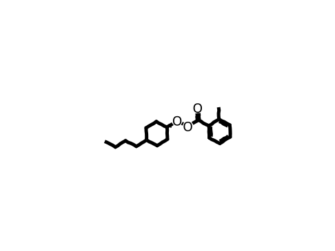 CCCCC1CC[C](OOC(=O)c2ccccc2C)CC1